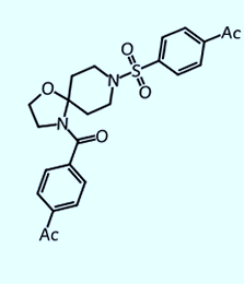 CC(=O)c1ccc(C(=O)N2CCOC23CCN(S(=O)(=O)c2ccc(C(C)=O)cc2)CC3)cc1